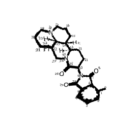 Cc1cccc2c1C(=O)N(C1CC[C@@H]3[C@H]4CCCN5CCC[C@H](CN3C1=O)[C@@H]45)C2=O